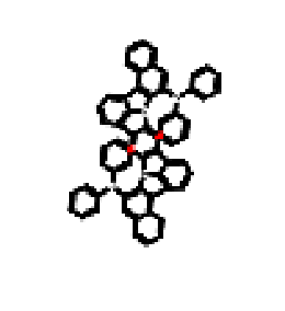 c1ccc(N(c2ccccc2)c2cc3ccccc3c3c4cccc5c6nc7c(cc6n(c23)c54)c2cccc3c4c5ccccc5cc(N(c5ccccc5)c5ccccc5)c4n7c23)cc1